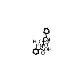 CC1(C(=O)NC(C(=O)O)c2ccccc2)CC(c2ccccc2)=NO1